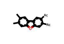 CC(=O)c1cc2oc3cc(C)c(C)cc3c2cc1C(C)=O